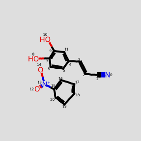 N#CC=Cc1ccc(O)c(O)c1.O=[N+]([O-])c1ccccc1